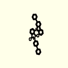 O=C1c2cccc(-n3c4ccccc4c4ccc(-c5ccccc5)cc43)c2C(=O)N1c1ccc(-c2ccccc2)cc1